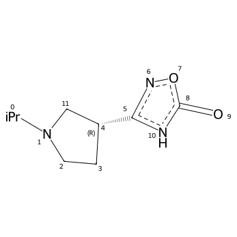 CC(C)N1CC[C@@H](c2noc(=O)[nH]2)C1